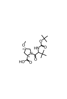 CO[C@H]1C[C@H](C(=O)O)N(C(=O)C(NC(=O)OC(C)(C)C)C(C)(C)C)C1